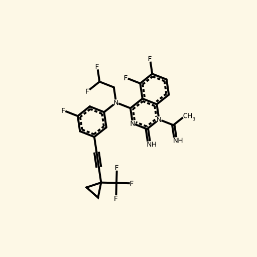 CC(=N)n1c(=N)nc(N(CC(F)F)c2cc(F)cc(C#CC3(C(F)(F)F)CC3)c2)c2c(F)c(F)ccc21